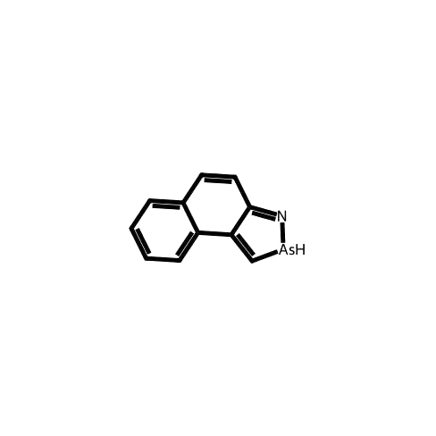 C1=c2c(ccc3ccccc23)=N[AsH]1